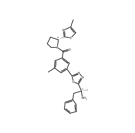 Cc1cc(C(=O)N2CCC[C@@H]2c2nc(C)cs2)cc(-c2nnc([C@@](C)(N)Cc3ccccc3)o2)c1